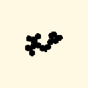 c1ccc(-c2nc(-c3ccccc3)nc(-n3c4ccc(-c5ccc6sc7ccc(-c8ccc9c(c8)c8ccc%10c%11ccccc%11n(-c%11ccccc%11)c%10c8n9-c8ccccc8)cc7c6c5)cc4c4cc5c(cc43)c3ccccc3n5-c3ccccc3)n2)cc1